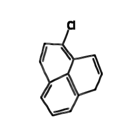 Clc1ccc2cccc3c2c1C=CC3